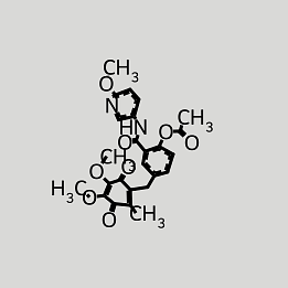 COC1=C(OC)C(=O)C(Cc2ccc(OC(C)=O)c(C(=O)Nc3ccc(OC)nc3)c2)=C(C)C1=O